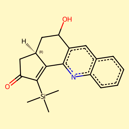 C[Si](C)(C)C1=C2c3nc4ccccc4cc3C(O)C[C@@H]2CC1=O